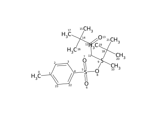 Cc1ccc(S(=O)(=O)OS(C)(CC(=O)C(C)(C)C)C(C)(C)C)cc1